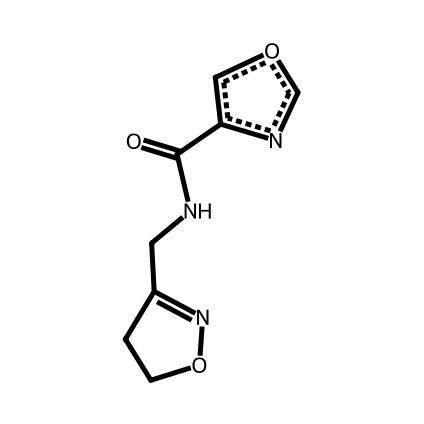 O=C(NCC1=NOCC1)c1cocn1